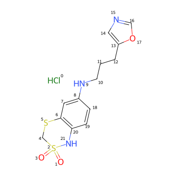 Cl.O=S1(=O)CSc2cc(NCCCc3cnco3)ccc2N1